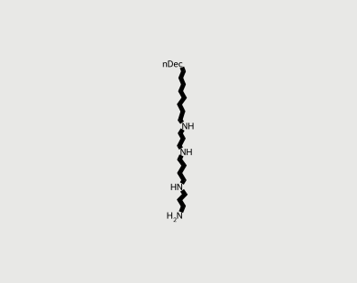 CCCCCCCCCCCCCCCCCCNCCCNCCCCNCCCN